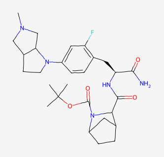 CN1CC2CCN(c3ccc(C[C@H](NC(=O)C4C5CCC(C5)N4C(=O)OC(C)(C)C)C(N)=O)c(F)c3)C2C1